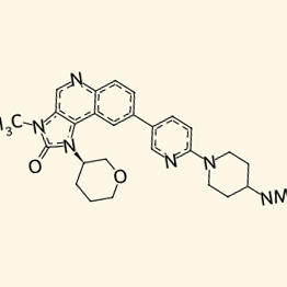 CNC1CCN(c2ccc(-c3ccc4ncc5c(c4c3)n([C@@H]3CCCOC3)c(=O)n5C)cn2)CC1